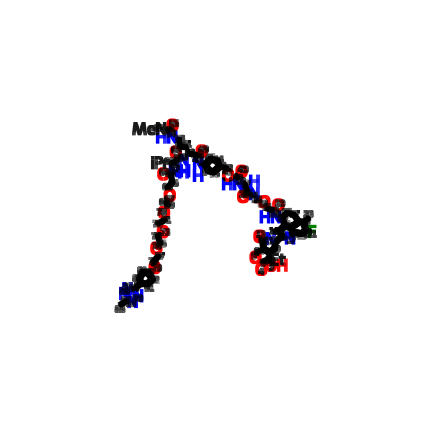 CC[C@@]1(O)C(=O)OCc2c1cc1n(c2=O)Cc2c-1nc1cc(F)c(C)c3c1c2[C@@H](NC(=O)COCNC(=O)CNC(=O)OCc1ccc(NC(=O)[C@H](CCCNC(=O)NC)NC(=O)[C@@H](NC(=O)CCOCCOCCOCCOCCOc2ccc(-c4nnc(C)nn4)cc2)C(C)C)cc1)CC3